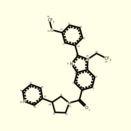 O=C(c1ccc2c(c1)nc(-c1cccc(OC(F)(F)F)c1)n2CC(F)(F)F)N1CCC(c2cccnc2)C1